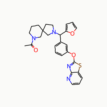 CC(=O)N1CCCC2(CCN(C(c3cccc(Oc4nc5ncccc5s4)c3)c3ccco3)C2)C1